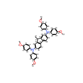 COc1ccc(N(c2ccc(OC)cc2)c2ccc3c(c2)C(C)c2cc(N(c4ccc(OC)cc4)c4ccc(OC)cc4)ccc2-3)cc1